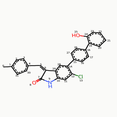 Cc1ccc(C=C2C(=O)Nc3cc(Cl)c(-c4ccc(-c5ccccc5O)cc4)cc32)cc1